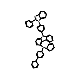 c1ccc(-c2ccc(N(c3ccccc3)c3cccc4c3c3ccccc3n4-c3ccc(-n4c(-c5ccccc5)nc5ccccc54)cc3)cc2)cc1